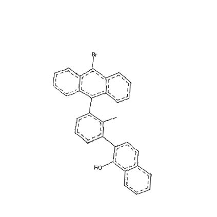 Cc1c(-c2ccc3ccccc3c2O)cccc1-c1c2ccccc2c(Br)c2ccccc12